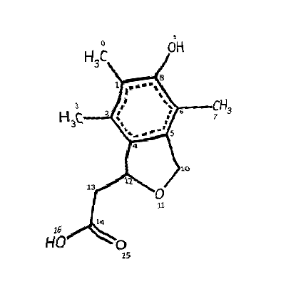 Cc1c(C)c2c(c(C)c1O)COC2CC(=O)O